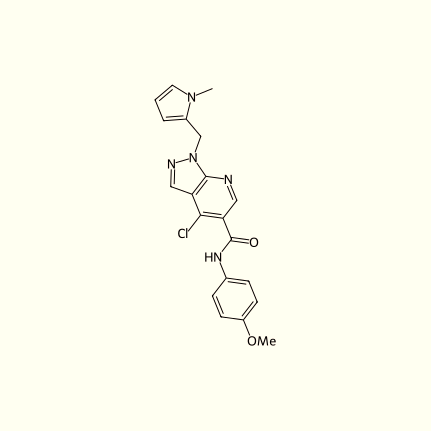 COc1ccc(NC(=O)c2cnc3c(cnn3Cc3cccn3C)c2Cl)cc1